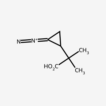 CC(C)(C(=O)O)C1CC1=[N+]=[N-]